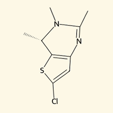 CC1=Nc2cc(Cl)sc2[C@H](C)N1C